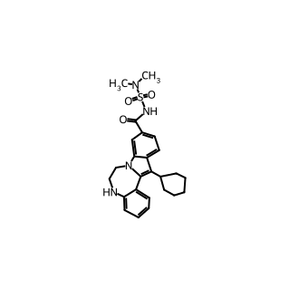 CN(C)S(=O)(=O)NC(=O)c1ccc2c(C3CCCCC3)c3n(c2c1)CCNc1ccccc1-3